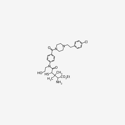 CCOC(=O)C(N)C(C)(C)C(S)C(=O)N(CCO)c1ccc(C(=O)N2CCN(CCc3ccc(Cl)cc3)CC2)cc1